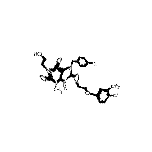 Cn1c2c(c(=O)n(CCO)c1=O)N(Cc1ccc(Cl)cc1)C(OCCOc1ccc(Cl)c(C(F)(F)F)c1)N2